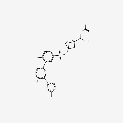 Cc1ncc(-c2nc(-c3cc(S(=O)(=O)NC45COC(C(C)OC(=O)C(F)(F)F)(C4)C5)ccc3C)cnc2N)s1